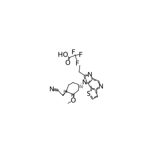 CCc1nc2cnc3ccsc3c2n1[C@H]1CC[C@H](CC#N)[C@H](OC)C1.O=C(O)C(F)(F)F